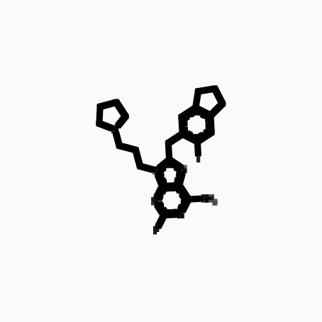 Nc1nc(F)nc2c1nc(Cc1cc3c(cc1I)CCC3)n2CCCN1CCCC1